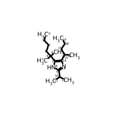 CCCCC(C)(C)c1[nH]c(C(C)C)nc1C(C)CCC